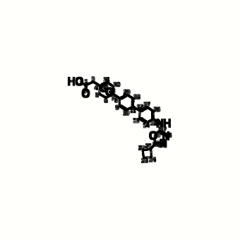 O=C(O)CC12CCC(c3ccc(-c4ccc(Nc5nnc(C6CCC6)o5)cc4)cc3)(CC1)OC2